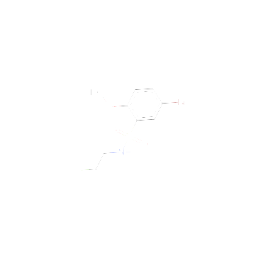 COc1ccc(Br)cc1S(=O)(=O)NCCF